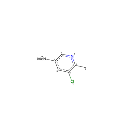 CNc1cnc(C)c(Cl)c1